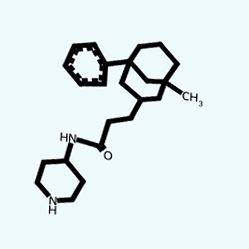 CC12CCCC(c3ccccc3)(CC(CCC(=O)NC3CCNCC3)C1)C2